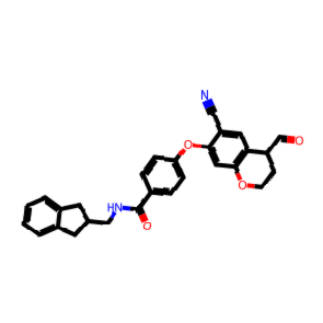 N#Cc1cc2c(cc1Oc1ccc(C(=O)NCC3Cc4ccccc4C3)cc1)OCCC2C=O